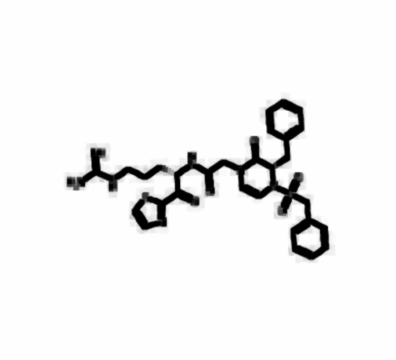 N=C(N)NCCC[C@H](NC(=O)CN1C=CN(S(=O)(=O)Cc2ccccc2)[C@H](Cc2ccccc2)C1=O)C(=O)c1nccs1